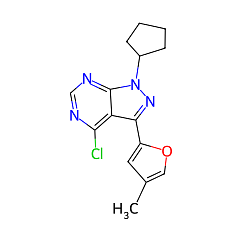 Cc1coc(-c2nn(C3CCCC3)c3ncnc(Cl)c23)c1